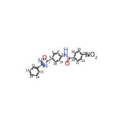 O=C(Nc1ccc(-c2nc(-c3ccccc3)no2)cc1)c1ccc([N+](=O)[O-])cc1